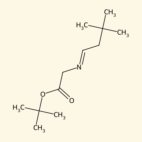 CC(C)(C)CC=NCC(=O)OC(C)(C)C